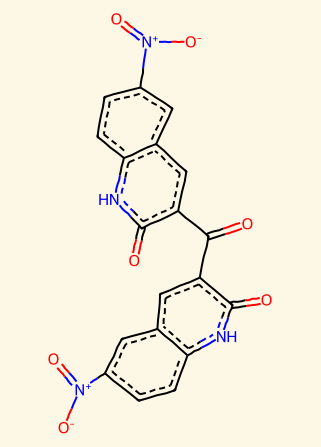 O=C(c1cc2cc([N+](=O)[O-])ccc2[nH]c1=O)c1cc2cc([N+](=O)[O-])ccc2[nH]c1=O